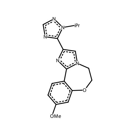 COc1ccc2c(c1)OCCn1cc(-c3ncnn3C(C)C)nc1-2